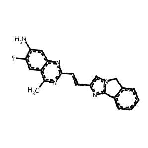 Cc1nc(C=Cc2cn3c(n2)-c2ccccc2C3)nc2cc(N)c(F)cc12